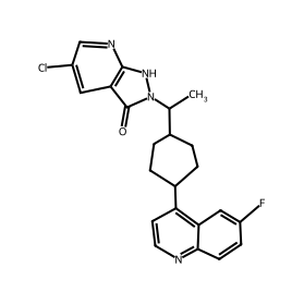 CC(C1CCC(c2ccnc3ccc(F)cc23)CC1)n1[nH]c2ncc(Cl)cc2c1=O